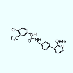 COc1ncccc1-c1ccc(CNC(=O)Nc2ccc(Cl)c(C(F)(F)F)c2)cc1